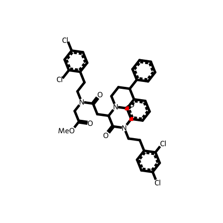 COC(=O)CN(CCc1ccc(Cl)cc1Cl)C(=O)CC1C(=O)N(CCc2ccc(Cl)cc2Cl)CC(=O)N1CCC(c1ccccc1)c1ccccc1